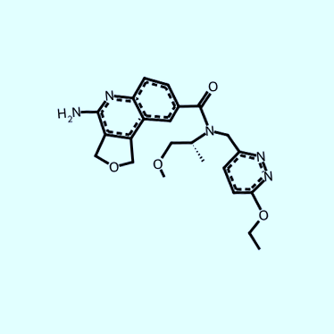 CCOc1ccc(CN(C(=O)c2ccc3nc(N)c4c(c3c2)COC4)[C@H](C)COC)nn1